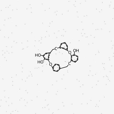 Oc1cc2cc(c1O)Oc1ccc(cc1)CCc1cccc(O)c1Oc1cccc(c1)CC2